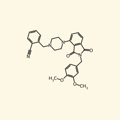 COc1ccc(CN2C(=O)c3cccc(N4CCN(Cc5ccccc5C#N)CC4)c3C2=O)cc1OC